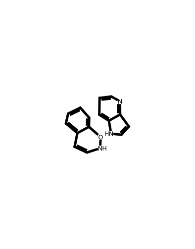 C1=Cc2ccccc2ON1.c1cnc2cc[nH]c2c1